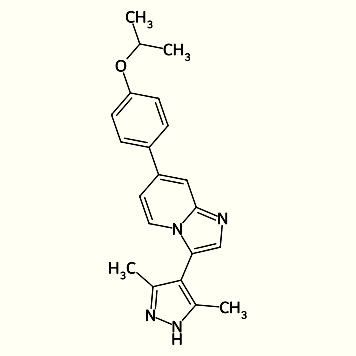 Cc1n[nH]c(C)c1-c1cnc2cc(-c3ccc(OC(C)C)cc3)ccn12